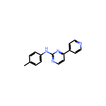 Cc1ccc(Nc2nccc(-c3ccncc3)n2)cc1